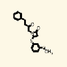 COc1cccc(SC2CC(=O)N2CC(=O)CCc2ccccc2)c1